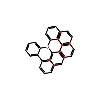 c1ccc(-c2ccccc2B(c2ccccc2-c2ccccc2)c2ccccc2-c2ccccc2)cc1